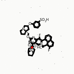 C#Cc1c(F)ccc2cccc(-c3ncc4c(N5CC6CCC(C5)N6C(=O)OC(C)(C)C)nc(OC[C@]56CCCN5C[C@H](Oc5cccc(S(=O)(=O)O)c5)C6)nc4c3F)c12